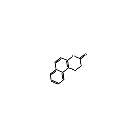 S=C1CCc2c(ccc3ccccc23)O1